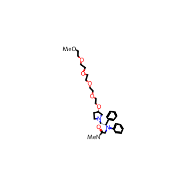 CNC(=O)CN(c1ccccc1)[C@H](CN1CC[C@H](OCCOCCOCCOCCOCCOC)C1)c1ccccc1